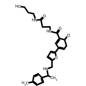 Cc1ccc(C(C)NCc2ccc(C3=CCC(Cl)C(C(=O)NCCC(=O)NCCCO)=C3)o2)cc1